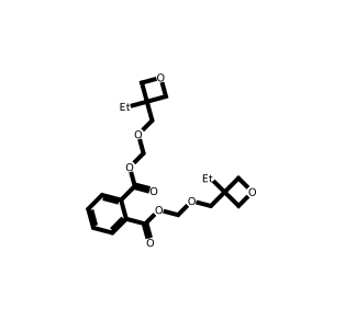 CCC1(COCOC(=O)c2ccccc2C(=O)OCOCC2(CC)COC2)COC1